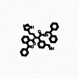 N=Cc1cccc(C(C(=O)NCC(c2ccccc2)c2ccccc2)N(CCc2cnc[nH]2)C(=O)c2ccccc2C(=O)c2ccccc2)c1